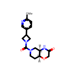 COc1ccc(C2CN(C(=O)N3CC[C@@H]4OCC(=O)N[C@@H]4C3)C2)cn1